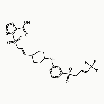 O=C(O)c1ccsc1S(=O)(=O)CC=CN1CCC(Nc2cccc(S(=O)(=O)CC=CC(F)(F)F)c2)CC1